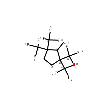 CC1C(C(F)(F)F)(C(F)(F)F)CCC1(C(F)(F)F)C(F)(F)F